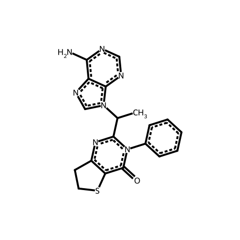 CC(c1nc2c(c(=O)n1-c1ccccc1)SCC2)n1cnc2c(N)ncnc21